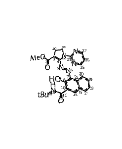 COC(=O)C1=C(/N=N/c2c(O)c(C(=O)NC(C)(C)C)cc3ccccc23)N(c2ncccn2)CC1